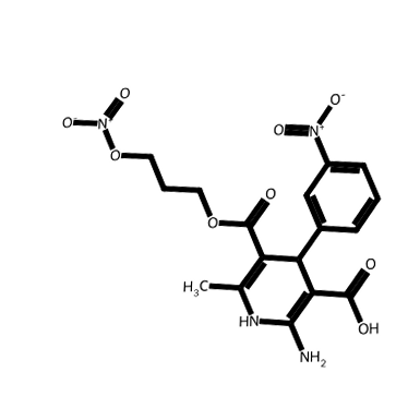 CC1=C(C(=O)OCCCO[N+](=O)[O-])C(c2cccc([N+](=O)[O-])c2)C(C(=O)O)=C(N)N1